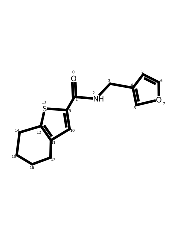 O=C(NCc1ccoc1)c1cc2c(s1)CCCC2